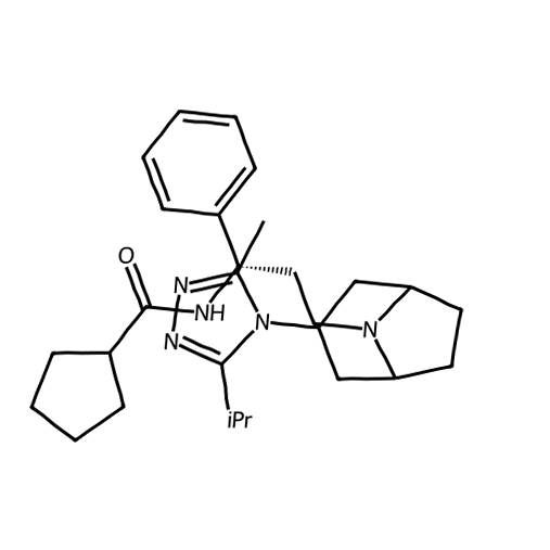 Cc1nnc(C(C)C)n1C1CC2CCC(C1)N2CC[C@H](NC(=O)C1CCCC1)c1ccccc1